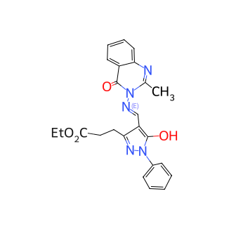 CCOC(=O)CCc1nn(-c2ccccc2)c(O)c1/C=N/n1c(C)nc2ccccc2c1=O